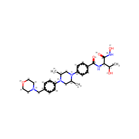 CC(O)C(NC(=O)c1ccc(N2CC(C)N(c3ccc(CN4CCOCC4)cc3)CC2C)cc1)C(=O)NO